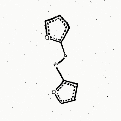 c1coc([P][P]c2ccco2)c1